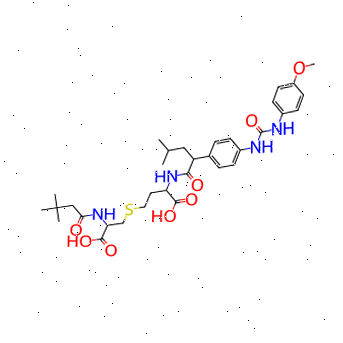 COc1ccc(NC(=O)Nc2ccc(C(CC(C)C)C(=O)NC(CCSCC(NC(=O)CC(C)(C)C)C(=O)O)C(=O)O)cc2)cc1